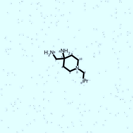 CC(C)CN1CCC(N)(CN)CC1